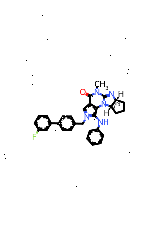 CN1C(=O)c2cn(Cc3ccc(-c4cccc(F)c4)cc3)c(Nc3ccccc3)c2N2C1=N[C@@H]1CCC[C@@H]12